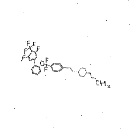 CCCC[C@H]1CC[C@H](CCc2ccc(C(F)(F)Oc3ccccc3-c3cc(F)c(C(F)(F)F)c(F)c3)cc2)CC1